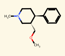 COC[C@@H]1CN(C)CC[C@H]1c1ccccc1